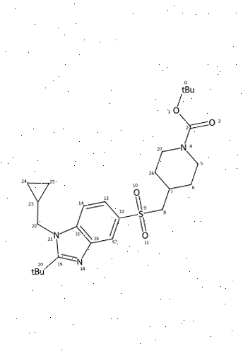 CC(C)(C)OC(=O)N1CCC(CS(=O)(=O)c2ccc3c(c2)nc(C(C)(C)C)n3CC2CC2)CC1